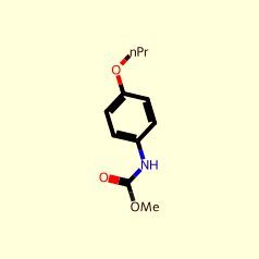 CCCOc1ccc(NC(=O)OC)cc1